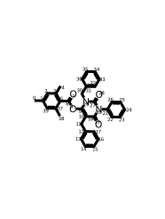 Cc1cc(C)c(C(=O)Oc2c(Cc3ccccc3)c(=O)n(-c3ccccc3)c(=O)n2Cc2ccccc2)c(C)c1